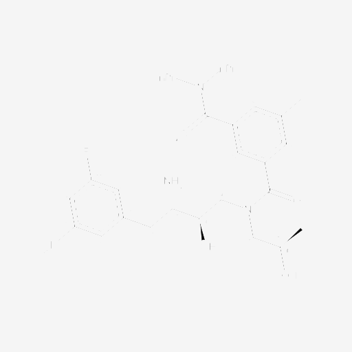 CCCN(CCC)C(=O)c1cc(C)cc(C(=O)N(C[C@@H](O)[C@@H](N)Cc2cc(F)cc(F)c2)C[C@@H](C)O)c1